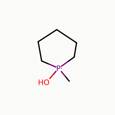 C[P]1(O)CCCCC1